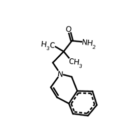 CC(C)(CN1C=Cc2ccccc2C1)C(N)=O